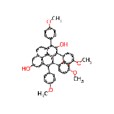 COc1ccc(-c2c(-c3ccc(OC)cc3)c3c(-c4ccc(OC)cc4)c(O)c(-c4ccc(OC)cc4)c4ccc5cc(O)cc2c5c43)cc1